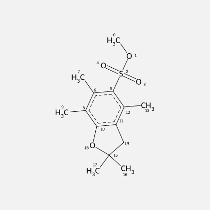 COS(=O)(=O)c1c(C)c(C)c2c(c1C)CC(C)(C)O2